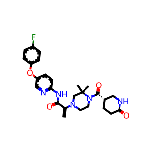 C=C(C(=O)Nc1ccc(Oc2ccc(F)cc2)cn1)N1CCN(C(=O)[C@H]2CCC(=O)NC2)C(C)(C)C1